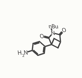 CCCCN1C(=O)C2CC(c3ccc(N)cc3)(C2)C1=O